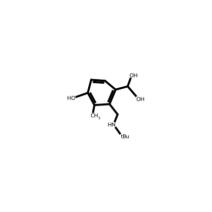 Cc1c(O)ccc(C(O)O)c1CNC(C)(C)C